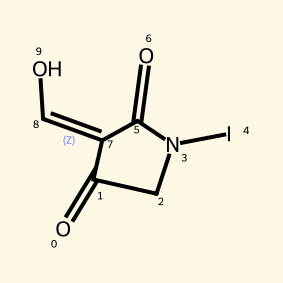 O=C1CN(I)C(=O)/C1=C\O